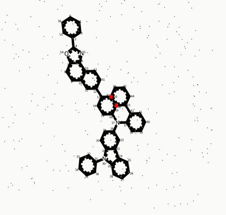 c1ccc(-c2nc3c(ccc4cc(-c5ccc(N(c6ccc7c(c6)c6ccccc6n7-c6ccccc6)c6ccccc6-c6ccccc6)cc5)ccc43)o2)cc1